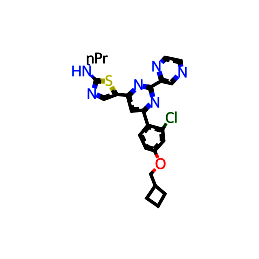 CCCNc1ncc(-c2cc(-c3ccc(OCC4CCC4)cc3Cl)nc(-c3cnccn3)n2)s1